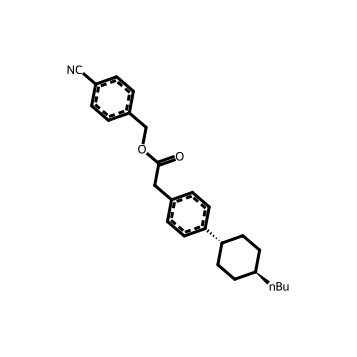 CCCC[C@H]1CC[C@H](c2ccc(CC(=O)OCc3ccc(C#N)cc3)cc2)CC1